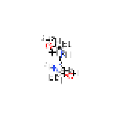 [2H]OC([2H])([2H])[C@H](CC)N([2H])CCN([2H])[C@@H](CC)C([2H])([2H])O[2H]